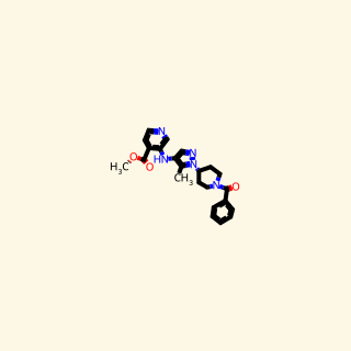 COC(=O)c1ccncc1Nc1cnn(C2CCN(C(=O)c3ccccc3)CC2)c1C